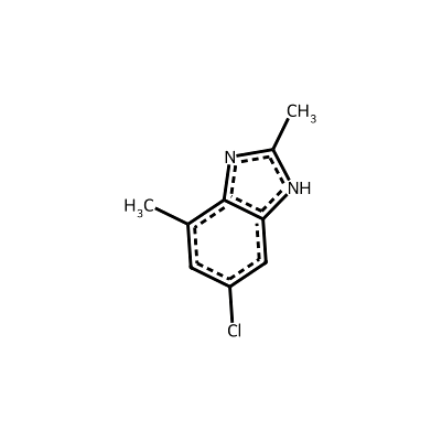 Cc1nc2c(C)cc(Cl)cc2[nH]1